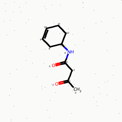 CC(=O)CC(=O)NC1CC=CCC1